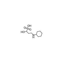 O=S(=O)(O)C(O)CCNC1CCCCC1